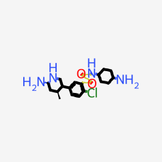 C[C@H]1C[C@@H](N)NCC1c1ccc(Cl)c(S(=O)(=O)NC2CCC(N)CC2)c1